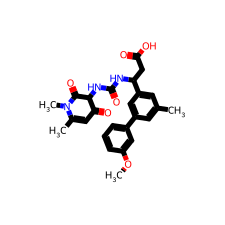 COc1cccc(-c2cc(C)cc(C(CC(=O)O)NC(=O)NC3C(=O)C=C(C)N(C)C3=O)c2)c1